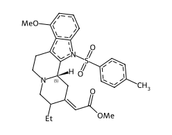 CCC1CN2CCc3c(n(S(=O)(=O)c4ccc(C)cc4)c4cccc(OC)c34)[C@@H]2CC1=CC(=O)OC